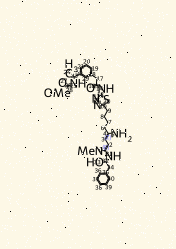 CN/C(=C\C=C(/N)CCCCc1nnc(NC(=O)Cc2cccc(C(C)NC(=O)OC)c2)s1)NC(O)Cc1ccccc1